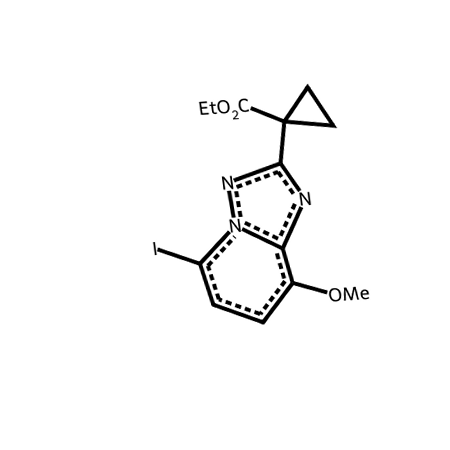 CCOC(=O)C1(c2nc3c(OC)ccc(I)n3n2)CC1